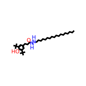 CCCCCCCCCCCCCCCCCCNNC(=O)CCc1cc(C(C)(C)C)c(O)c(C(C)(C)C)c1